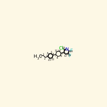 CCCc1ccc(C2CCC(c3cc(F)c(F)nc3Cl)CC2)cc1